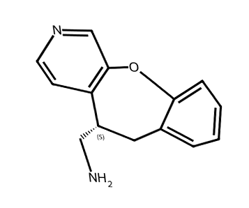 NC[C@H]1Cc2ccccc2Oc2cnccc21